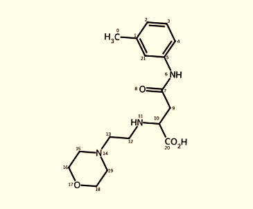 Cc1cccc(NC(=O)CC(NCCN2CCOCC2)C(=O)O)c1